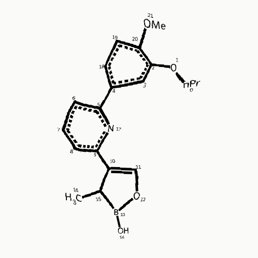 CCCOc1cc(-c2cccc(C3=COB(O)C3C)n2)ccc1OC